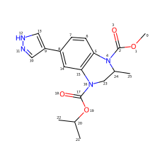 COC(=O)N1c2ccc(-c3cn[nH]c3)cc2N(C(=O)OC(C)C)CC1C